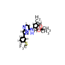 [CH2][C@@H]1C[C@@H](Nc2ccnc3cc(-c4cccc(SC(F)(F)F)c4)nn23)[C@@H]2OC(C)(C)O[C@@H]21